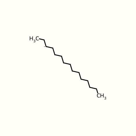 CC[CH]CCCCCCCCCCCC